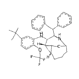 CC(C)(C)c1ccc(OC(F)(F)F)c(NC2C(C(c3ccccc3)c3ccccc3)NC3CCC[C@H]4C(C3)[C@@H]24)c1